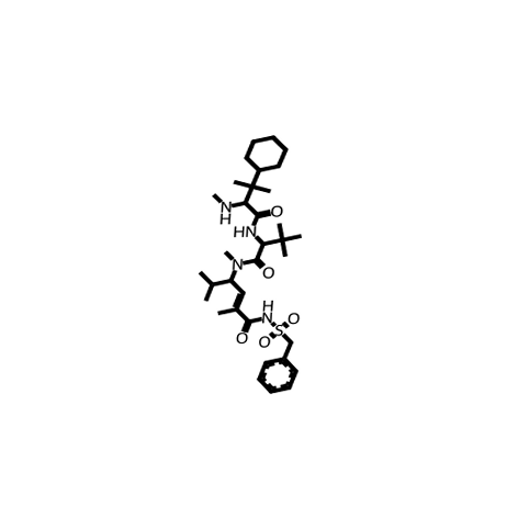 CNC(C(=O)NC(C(=O)N(C)C(C=C(C)C(=O)NS(=O)(=O)Cc1ccccc1)C(C)C)C(C)(C)C)C(C)(C)C1CCCCC1